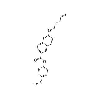 C=CCCCOc1ccc2cc(C(=O)Oc3ccc(OCC)cc3)ccc2c1